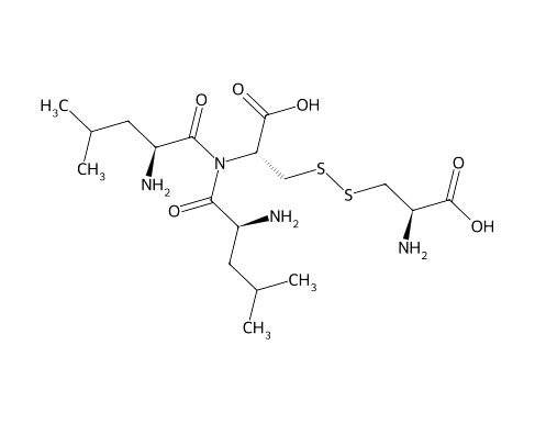 CC(C)C[C@H](N)C(=O)N(C(=O)[C@@H](N)CC(C)C)[C@@H](CSSC[C@H](N)C(=O)O)C(=O)O